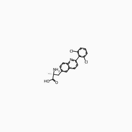 C[C@](N)(Cc1ccc2nc(-c3c(Cl)cccc3Cl)ccc2c1)C(=O)O